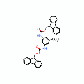 O=C(Nc1cc(NC(=O)OCC2c3ccccc3-c3ccccc32)cc(C(=O)O)c1)OCC1c2ccccc2-c2ccccc21